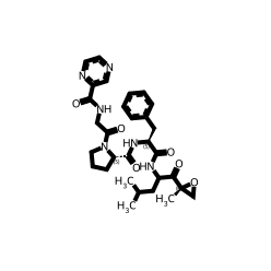 CC(C)CC(NC(=O)[C@H](Cc1ccccc1)NC(=O)[C@@H]1CCCN1C(=O)CNC(=O)c1cnccn1)C(=O)[C@@]1(C)CO1